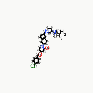 CCN(C)[C@@H]1CCN(Cc2ccc3c(c2)CCC(n2ccc(OCc4ccc(Cl)cc4)cc2=O)=C3)C1